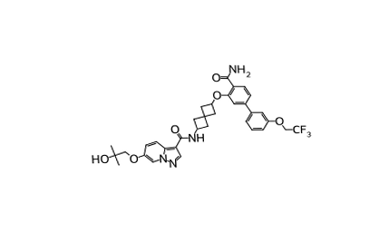 CC(C)(O)COc1ccc2c(C(=O)NC3CC4(C3)CC(Oc3cc(-c5cccc(OCC(F)(F)F)c5)ccc3C(N)=O)C4)cnn2c1